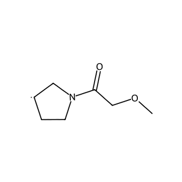 COCC(=O)N1C[CH]CC1